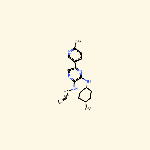 C=[13CH][13CH2]Nc1ncc(-c2ccc([13C](C)([13CH3])[13CH3])nc2)nc1N[C@H]1CC[C@H](OC)CC1